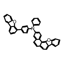 c1ccc(N(c2ccc(-c3cccc4c3oc3ccccc34)cc2)c2ccc3c(ccc4ccc5c6ccccc6oc5c43)c2)cc1